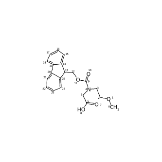 COCCN(CC(=O)O)C(=O)OCC1c2ccccc2-c2ccccc21